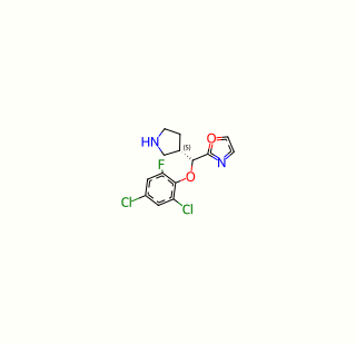 Fc1cc(Cl)cc(Cl)c1OC(c1ncco1)[C@H]1CCNC1